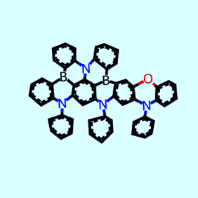 c1ccc(N2c3ccccc3Oc3cc4c(cc32)N(c2ccccc2)c2cc3c5c6c2B4c2ccccc2N6c2ccccc2B5c2ccccc2N3c2ccccc2)cc1